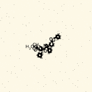 CC(C)(C)OC(=O)N1CCN(C(=O)c2ncn(C3CCCN(C(=O)OCc4ccccc4)C3)c2-c2ccccc2)[C@H](Cc2ccccc2)C1